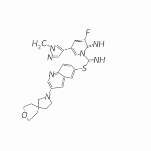 Cn1cc(-c2cc(F)c(=N)n(C(=N)Sc3ccc4ncc(N5CCC6(CCOCC6)C5)cc4c3)c2)cn1